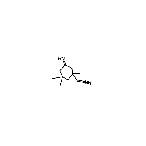 CC1(C)CC(=N)CC(C)(C=N)C1